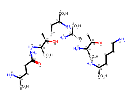 CC(C)C[C@H](N)C(=O)O.CC(C)[C@H](N)C(=O)O.C[C@@H](O)[C@H](N)C(=O)O.C[C@@H](O)[C@H](N)C(=O)O.NC(=O)CC[C@H](N)C(=O)O.NCCCC[C@H](N)C(=O)O